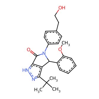 COc1ccccc1C1c2c(C(C)(C)C)n[nH]c2C(=O)N1c1ccc(CCO)cc1